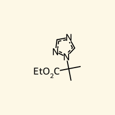 CCOC(=O)C(C)(C)n1cncn1